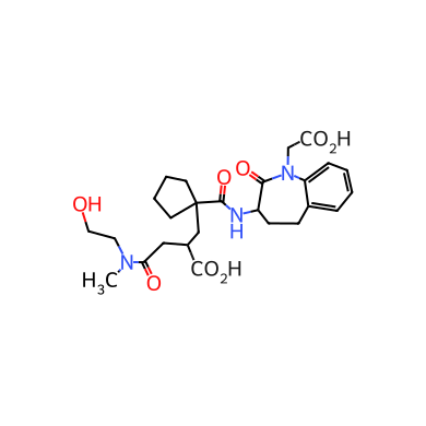 CN(CCO)C(=O)CC(CC1(C(=O)NC2CCc3ccccc3N(CC(=O)O)C2=O)CCCC1)C(=O)O